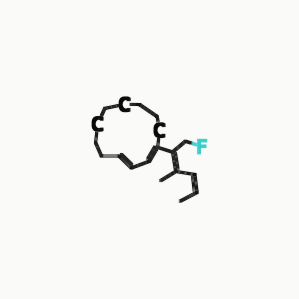 C\C=C/C(C)=C(CF)/C1=C/C=C/CCCCCCCC1